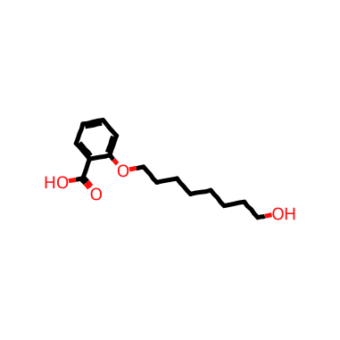 O=C(O)c1ccccc1OCCCCCCCCO